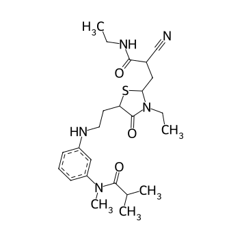 CCNC(=O)C(C#N)CC1SC(CCNc2cccc(N(C)C(=O)C(C)C)c2)C(=O)N1CC